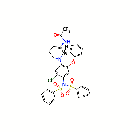 O=C(N[C@@H]1CCCN2c3cc(Cl)c(N(S(=O)(=O)c4ccccc4)S(=O)(=O)c4ccccc4)cc3Oc3ccccc3[C@@H]12)C(F)(F)F